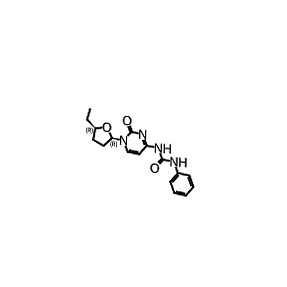 CC[C@@H]1CC[C@H](n2ccc(NC(=O)Nc3ccccc3)nc2=O)O1